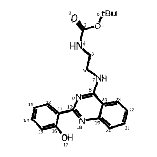 CC(C)(C)OC(=O)NCCNc1nc(-c2ccccc2O)nc2ccccc12